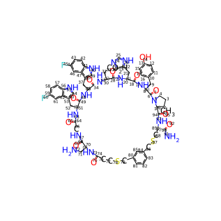 C[C@@]12CCCN1C(=O)[C@H](Cc1ccc(O)cc1)NC(=O)[C@H](Cc1cnc[nH]1)NC(=O)[C@H](CC(=O)O)NC(=O)[C@H](Cc1c[nH]c3ccc(F)cc13)NC(=O)[C@H](Cc1c[nH]c3ccc(F)cc13)NC(=O)CNC(=O)[C@H](CN)NC(=O)CCSCc1cccc(c1)CSC[C@@H](C(N)=O)NC2=O